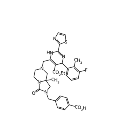 CCOC(=O)C1=C(CN2CCN3C(=O)N(Cc4ccc(C(=O)O)cc4)CC3(C)C2)NC(c2nccs2)=NC1c1cccc(F)c1C